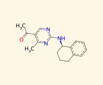 CC(=O)c1cnc(N[C@@H]2CCCc3ccccc32)nc1C